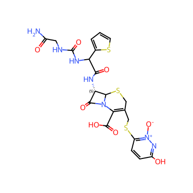 NC(=O)CNC(=O)NC(C(=O)N[C@H]1C(=O)N2C(C(=O)O)=C(CSc3ccc(O)n[n+]3[O-])CSC12)c1cccs1